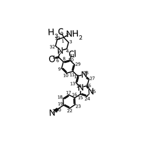 CC1(N)CCN(C(=O)c2ccc(-c3cn4c(-c5ccc(C#N)cc5)cnc4cn3)cc2Cl)CC1